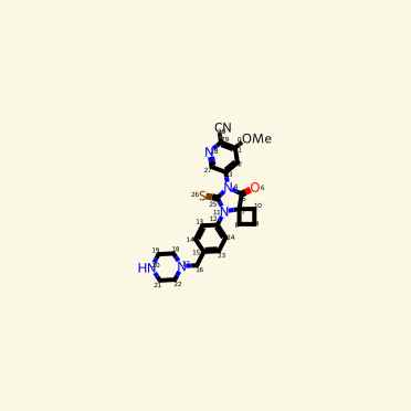 COc1cc(N2C(=O)C3(CCC3)N(c3ccc(CN4CCNCC4)cc3)C2=S)cnc1C#N